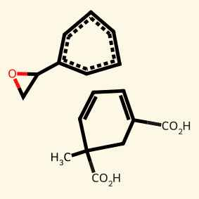 CC1(C(=O)O)C=CC=C(C(=O)O)C1.c1ccc(C2CO2)cc1